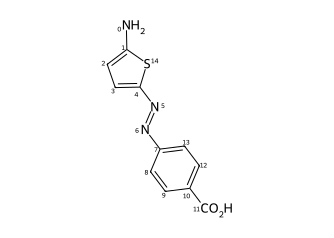 Nc1ccc(N=Nc2ccc(C(=O)O)cc2)s1